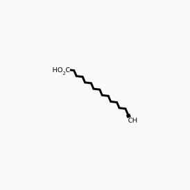 C#CCCCCCCCCCCCCCC(=O)O